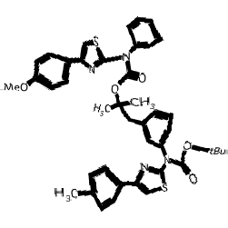 COc1ccc(-c2csc(N(C(=O)OC(C)(C)Cc3cccc(N(C(=O)OC(C)(C)C)c4nc(-c5ccc(C)cc5)cs4)c3)c3ccccc3)n2)cc1